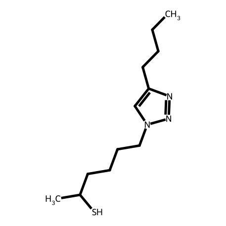 CCCCc1cn(CCCCC(C)S)nn1